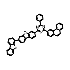 c1ccc(-c2nc(-c3ccc4c(c3)oc3cc(-c5cccc6c5sc5ccccc56)ccc34)nc(-c3ccc4ccc5ccccc5c4c3)n2)cc1